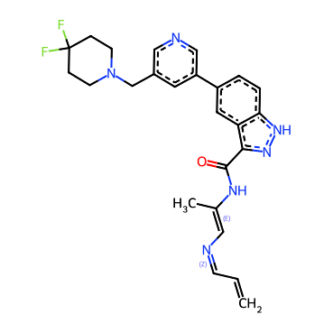 C=C/C=N\C=C(/C)NC(=O)c1n[nH]c2ccc(-c3cncc(CN4CCC(F)(F)CC4)c3)cc12